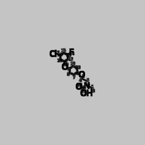 CCN(CCOc1ccc(Oc2cc(F)cc(Cl)c2)cc1)C(=O)O